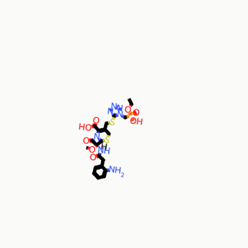 CCOP(=O)(O)Cn1nnnc1SCC1=C(C(=O)O)N2C(=O)[C@](NC(=O)Cc3ccccc3N)(OC)[C@H]2SC1